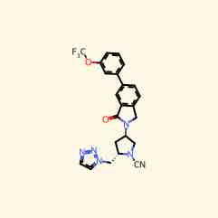 N#CN1C[C@H](N2Cc3ccc(-c4cccc(OC(F)(F)F)c4)cc3C2=O)C[C@H]1Cn1ccnn1